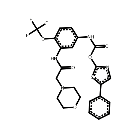 O=C(CN1CCOCC1)Nc1cc(NC(=O)Oc2ncc(-c3ccccc3)s2)ccc1OC(F)(F)F